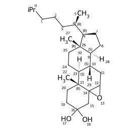 CC(C)CCC[C@@H](C)[C@H]1CC[C@H]2[C@@H]3CC4OC45CC(O)(O)CC[C@]5(C)[C@H]3CC[C@]12C